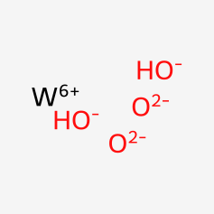 [O-2].[O-2].[OH-].[OH-].[W+6]